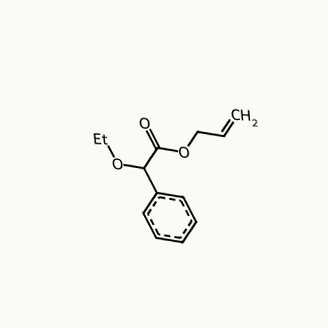 C=CCOC(=O)C(OCC)c1ccccc1